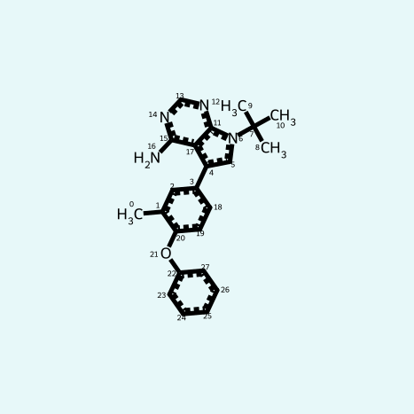 Cc1cc(-c2cn(C(C)(C)C)c3ncnc(N)c23)ccc1Oc1ccccc1